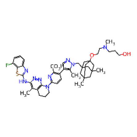 Cc1c(Nc2nc3cccc(F)c3s2)nnc2c1CCCN2c1ccc(-c2cnn(CC34CC5(C)CC(C)(C3)CC(OCCN(C)CCCO)(C5)C4)c2C)c(C(=O)O)n1